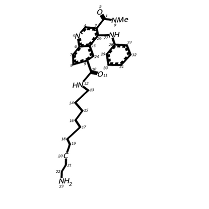 CNC(=O)c1cnc2ccc(C(=O)NCCCCCCCCCCN)cc2c1Nc1ccccc1